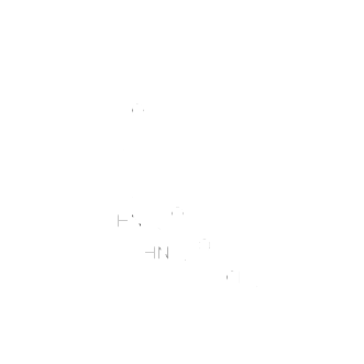 Cc1ccccc1C(=O)NC(=O)Nc1ccc(COCc2ccccc2)cc1